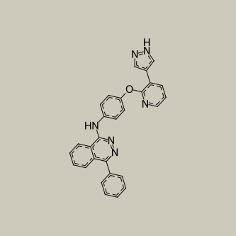 c1ccc(-c2nnc(Nc3ccc(Oc4ncccc4-c4cn[nH]c4)cc3)c3ccccc23)cc1